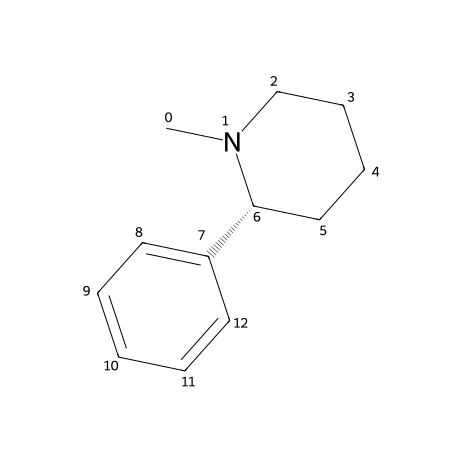 CN1CCCC[C@@H]1c1ccccc1